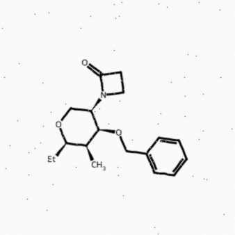 CC[C@H]1OC[C@@H](N2CCC2=O)[C@@H](OCc2ccccc2)[C@H]1C